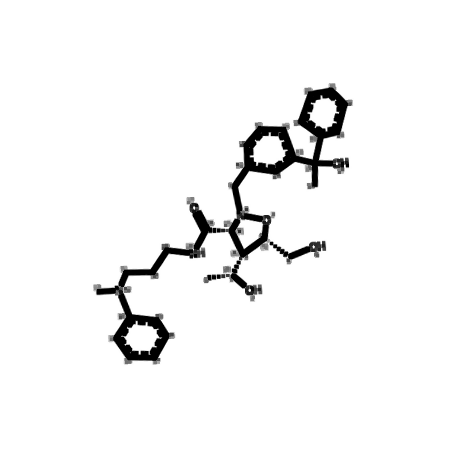 C[C@@H](O)[C@H]1[C@@H](CO)ON(Cc2cccc(C(C)(O)c3ccccc3)c2)[C@H]1C(=O)NCCCN(C)c1ccccc1